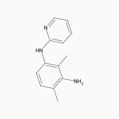 Cc1ccc(Nc2ccccn2)c(C)c1N